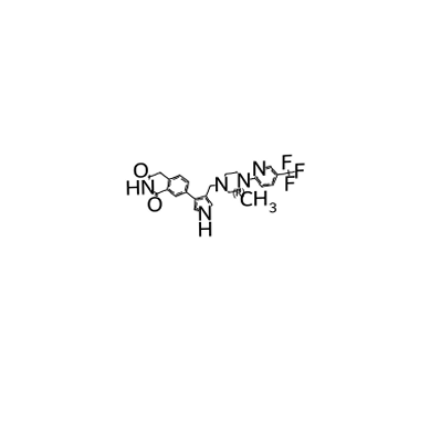 C[C@@H]1CN(Cc2c[nH]cc2-c2ccc3c(c2)C(=O)NC(=O)C3)CCN1c1ccc(C(F)(F)F)cn1